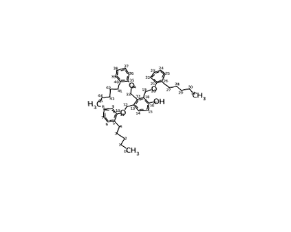 CCCCCc1ccccc1OCc1ccc(O)c(COc2ccccc2CCCCC)c1COc1ccccc1CCCCC